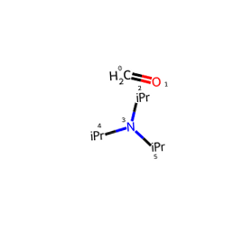 C=O.CC(C)N(C(C)C)C(C)C